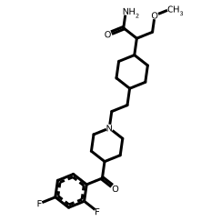 COCC(C(N)=O)C1CCC(CCN2CCC(C(=O)c3ccc(F)cc3F)CC2)CC1